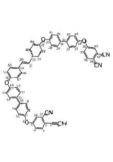 C#Cc1ccc(Oc2ccc(-c3ccc(Oc4ccc(C=Cc5ccc(Oc6ccc(-c7ccc(Oc8ccc(C#N)c(C#N)c8)cc7)cc6)cc5)cc4)cc3)cc2)cc1C#N